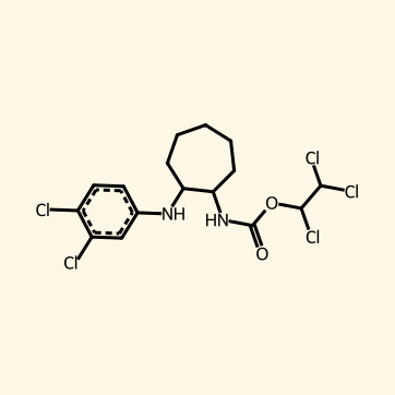 O=C(NC1CCCCCC1Nc1ccc(Cl)c(Cl)c1)OC(Cl)C(Cl)Cl